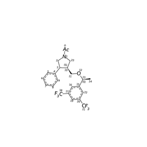 CC(=O)N1CC(c2ccccc2)[C@H](CO[C@@H](C)c2cc(C(F)(F)F)cc(C(F)(F)F)c2)C1